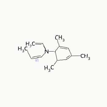 C=CN(/C=C\C)C1C(C)=CC(C)=CC1C